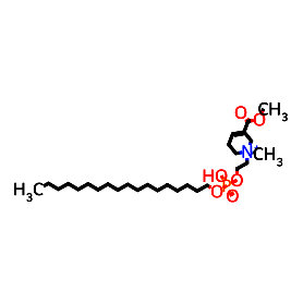 CCCCCCCCCCCCCCCCCCOP(=O)(O)OCC[N+]1(C)CCC=C(C(=O)OC)C1